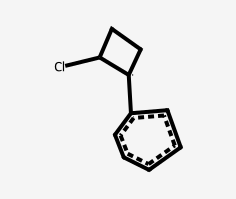 ClC1CC[C]1c1ccccc1